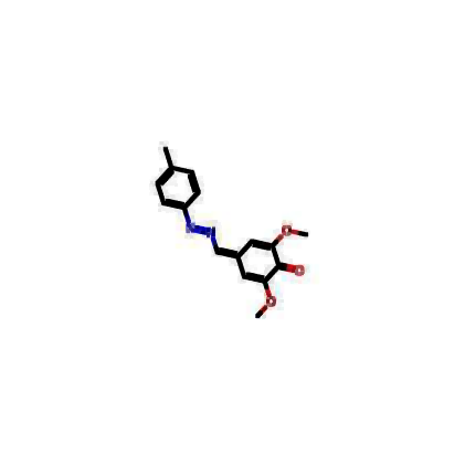 COC1=CC(=CN=Nc2ccc(C)cc2)C=C(OC)C1=O